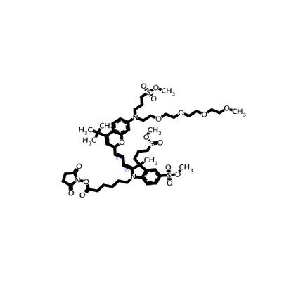 COCCOCCOCCOCCN(CCCS(=O)(=O)OC)c1ccc2c(c1)OC(/C=C/C=C1/N(CCCCCC(=O)ON3C(=O)CCC3=O)c3ccc(S(=O)(=O)OC)cc3C1(C)CCCS(=O)OC)C=C2C(C)(C)C